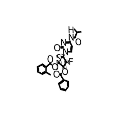 Cc1ccccc1C(=O)O[C@@H]1S[C@@H](n2ccc(NC(=O)C(C)C)nc2=O)[C@@H](F)[C@@H]1OC(=O)c1ccccc1